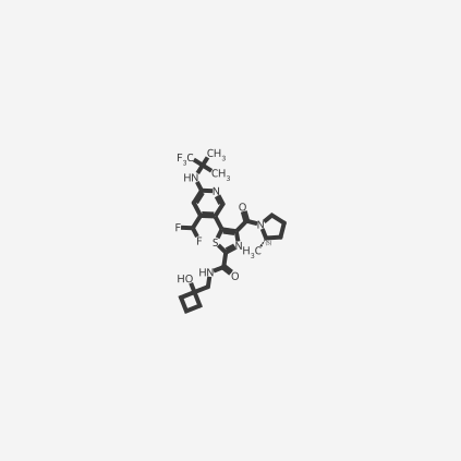 C[C@H]1CCCN1C(=O)c1nc(C(=O)NCC2(O)CCC2)sc1-c1cnc(NC(C)(C)C(F)(F)F)cc1C(F)F